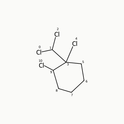 ClC(Cl)C1(Cl)CCCCC1Cl